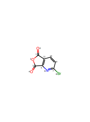 O=C1OC(=O)c2nc(Br)ccc21